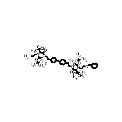 CCCN(C(=O)OC(C)(C)C)[C@H](C(=O)OCC(=O)c1ccc(-c2ccc(C(=O)COC(=O)[C@@H](N(CCOCc3ccccc3)C(=O)OC(C)(C)C)C(C)(C)C)cc2)cc1)C(C)(C)C